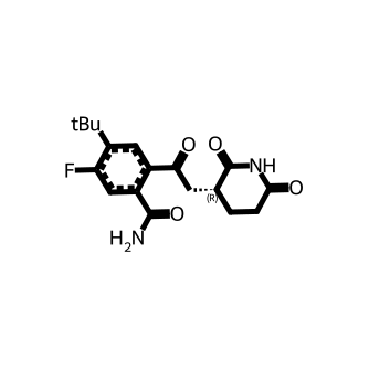 CC(C)(C)c1cc(C(=O)C[C@H]2CCC(=O)NC2=O)c(C(N)=O)cc1F